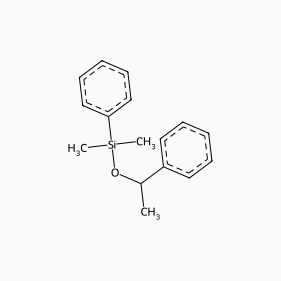 CC(O[Si](C)(C)c1ccccc1)c1ccccc1